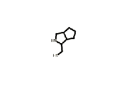 SCC1NCC2CCCC21